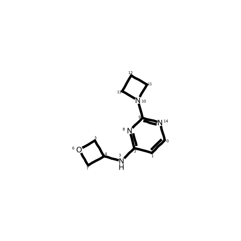 c1cc(NC2COC2)nc(N2CCC2)n1